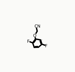 N#CCOc1[c]c(F)ccc1F